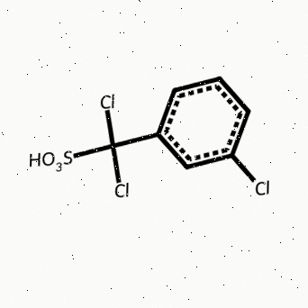 O=S(=O)(O)C(Cl)(Cl)c1cccc(Cl)c1